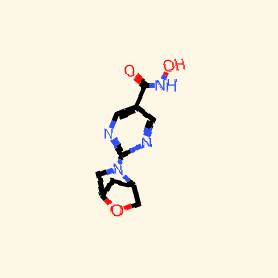 O=C(NO)c1cnc(N2CC3CC2CO3)nc1